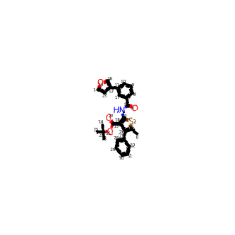 Cc1sc(NC(=O)c2cccc(-c3ccoc3)c2)c(C(=O)OC(C)(C)C)c1-c1ccccc1